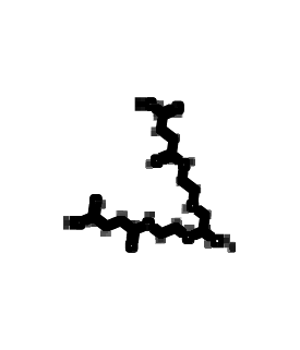 CC(COCCOC(=O)CCC(=O)O)OCCOC(=O)CCC(=O)O